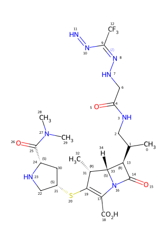 CC(CNC(=O)CN/N=C(\N=N)C(F)(F)F)[C@H]1C(=O)N2C(C(=O)O)=C(S[C@@H]3CN[C@H](C(=O)N(C)C)C3)[C@H](C)[C@H]12